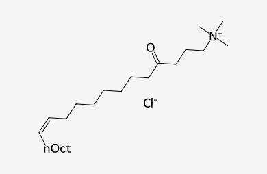 CCCCCCCC/C=C\CCCCCCCC(=O)CCC[N+](C)(C)C.[Cl-]